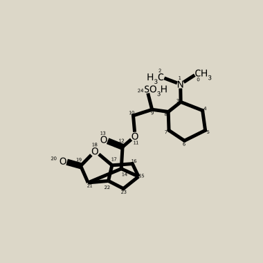 CN(C)C1CCCCC1C(COC(=O)C1C2CC3OC(=O)C1C3C2)S(=O)(=O)O